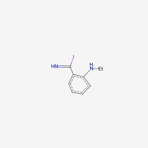 CCNc1ccccc1C(=N)I